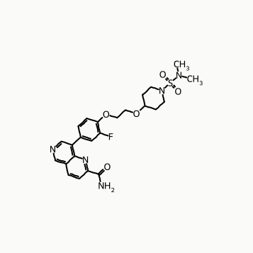 CN(C)S(=O)(=O)N1CCC(OCCOc2ccc(-c3cncc4ccc(C(N)=O)nc34)cc2F)CC1